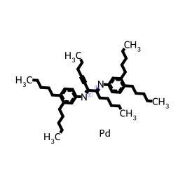 CCCC#CC(=N\c1ccc(CCCCC)c(CCCCC)c1)/C(CCCCC)=N/c1ccc(CCCCC)c(CCCCC)c1.[Pd]